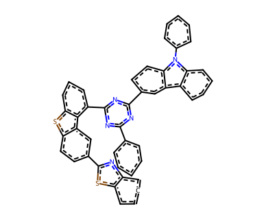 c1ccc(-c2nc(-c3ccc4c(c3)c3ccccc3n4-c3ccccc3)nc(-c3cccc4sc5ccc(-c6nc7ccccc7s6)cc5c34)n2)cc1